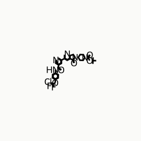 CC(C)(C)OC(=O)N1CCC(N2Cc3ncc(-c4cncc(C(=O)Nc5ccc(OC(F)(F)Cl)cc5)c4)cc3C2=O)CC1